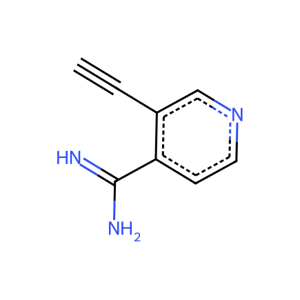 C#Cc1cnccc1C(=N)N